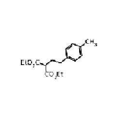 CCOC(=O)C(CCc1ccc(C)cc1)C(=O)OCC